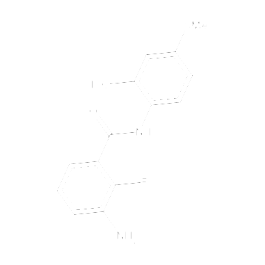 CSc1ccc(NC(=O)c2cccc(N)c2F)c(C(F)(F)F)c1